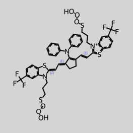 OOOSCCCN1/C(=C/C=C2\CCC(/C=C/c3sc4ccc(C(F)(F)F)cc4[n+]3CCCSOOO)=C2N(c2ccccc2)c2ccccc2)Sc2ccc(C(F)(F)F)cc21